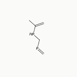 C=PCPC(=C)C